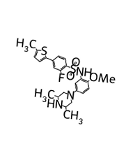 COc1ccc(N2CC(C)NC(C)C2)cc1NS(=O)(=O)c1ccc(-c2ccc(C)s2)cc1F